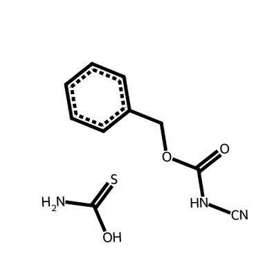 N#CNC(=O)OCc1ccccc1.NC(O)=S